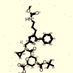 COC(=O)NCCCc1cc([C@@H](C)N(C(=O)[C@H]2CN(C(=O)OC(C)(C)C)C[C@@H](C(=O)OC)O2)C2CC2)sc1-c1ccccc1